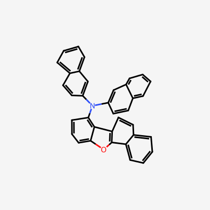 c1ccc2cc(N(c3ccc4ccccc4c3)c3cccc4oc5c6ccccc6ccc5c34)ccc2c1